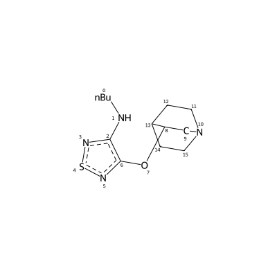 CCCCNc1nsnc1OC1CN2CCC1CC2